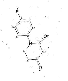 O=C1CCN(c2ccc(F)cc2)C(=O)C1